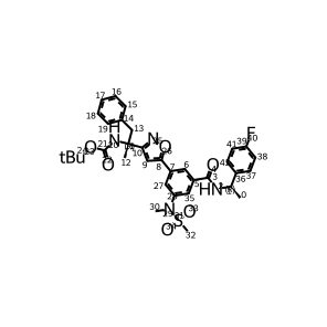 C[C@@H](NC(=O)c1cc(-c2cc([C@@](C)(Cc3ccccc3)NC(=O)OC(C)(C)C)no2)cc(N(C)S(C)(=O)=O)c1)c1ccc(F)cc1